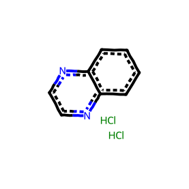 Cl.Cl.c1ccc2nccnc2c1